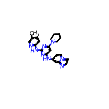 Cc1ccc(Nc2nc(Nc3ccn4ccnc4c3)cc(N3CCCCC3)n2)nc1